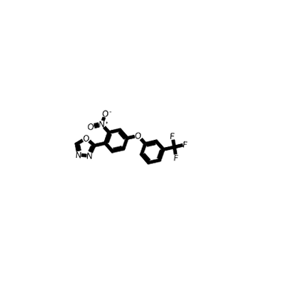 O=[N+]([O-])c1cc(Oc2cccc(C(F)(F)F)c2)ccc1-c1nnco1